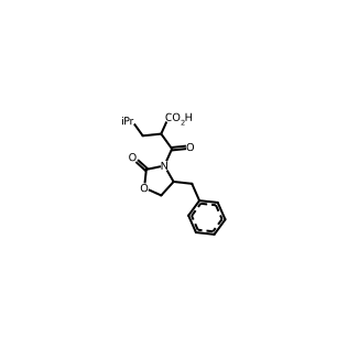 CC(C)CC(C(=O)O)C(=O)N1C(=O)OCC1Cc1ccccc1